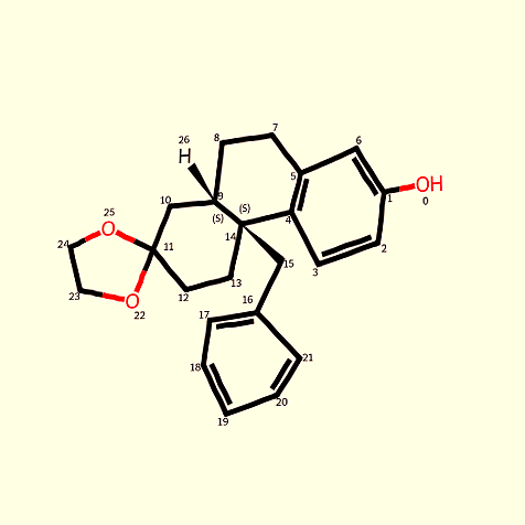 Oc1ccc2c(c1)CC[C@H]1CC3(CC[C@@]21Cc1ccccc1)OCCO3